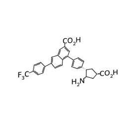 N[C@@H]1C[C@H](C(=O)O)C[C@H]1c1ccc(-c2cc(C(=O)O)cc3cc(-c4ccc(C(F)(F)F)cc4)ccc23)cc1